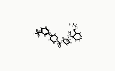 COCC1COCCC1N[C@@H]1CC[C@H](C(=O)N2CCN(c3cccc(C(F)(F)F)c3)CC2)C1